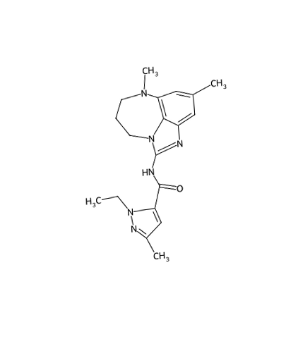 CCn1nc(C)cc1C(=O)Nc1nc2cc(C)cc3c2n1CCCN3C